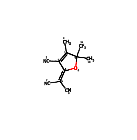 CC1=C(C#N)C(=C(C#N)C#N)OC1(C)C(F)(F)F